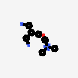 N#Cc1cccc(-c2cc(-c3ccc(Oc4ccc(-c5nc(-c6ccccc6)nc(-c6ccccc6)n5)cc4)cc3)cc(-c3cccc(C#N)c3)c2)c1